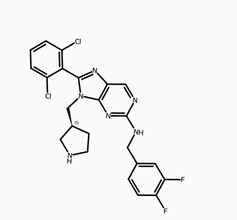 Fc1ccc(CNc2ncc3nc(-c4c(Cl)cccc4Cl)n(C[C@H]4CCNC4)c3n2)cc1F